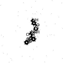 O=C(c1ccc2cc[nH]c2c1)N1CCC(Nc2ncc(Cl)c(-c3cn(S(=O)(=O)c4ccccc4)c4ccccc34)n2)CC1